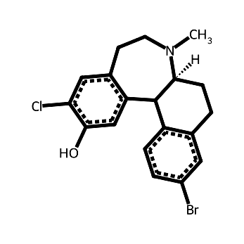 CN1CCc2cc(Cl)c(O)cc2C2c3ccc(Br)cc3CC[C@@H]21